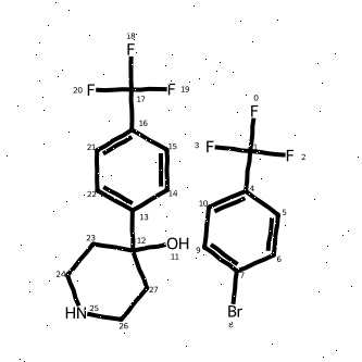 FC(F)(F)c1ccc(Br)cc1.OC1(c2ccc(C(F)(F)F)cc2)CCNCC1